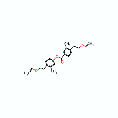 C=COCCc1ccc(OC(=O)c2ccc(CCOC=C)c(C)c2)cc1C